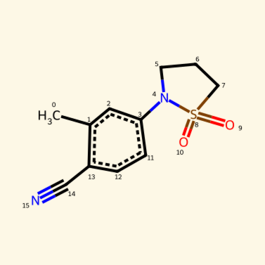 Cc1cc(N2CCCS2(=O)=O)ccc1C#N